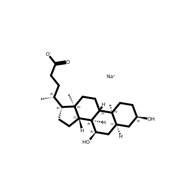 C[C@H](CCC(=O)[O-])[C@H]1CC[C@H]2[C@@H]3[C@H](O)C[C@@H]4C[C@H](O)CC[C@]4(C)[C@H]3CC[C@]12C.[Na+]